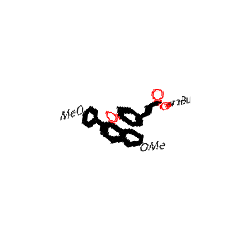 CCCCOC(=O)C=Cc1ccc(Oc2c(-c3ccc(OC)cc3)ccc3cc(OC)ccc23)cc1